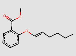 CCCCC=COc1ccccc1C(=O)OC